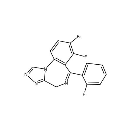 Fc1ccccc1C1=NCc2nncn2-c2ccc(Br)c(F)c21